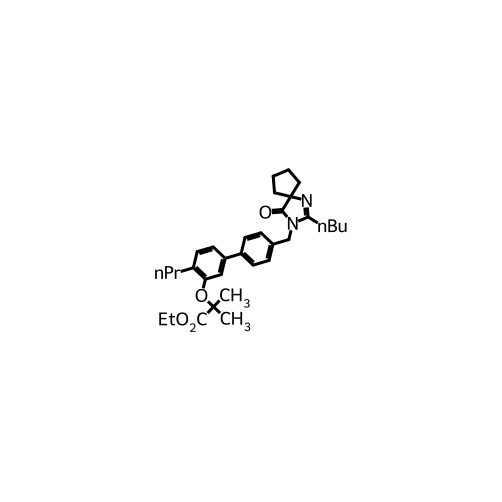 CCCCC1=NC2(CCCC2)C(=O)N1Cc1ccc(-c2ccc(CCC)c(OC(C)(C)C(=O)OCC)c2)cc1